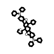 c1ccc(-c2c3cc4c(oc5cc(N(c6ccccc6)c6ccccc6)ccc54)c(-c4ccccc4)c3cc3c2oc2cc(N(c4ccccc4)c4ccccc4)ccc23)cc1